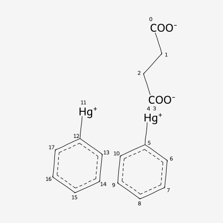 O=C([O-])CCC(=O)[O-].[Hg+][c]1ccccc1.[Hg+][c]1ccccc1